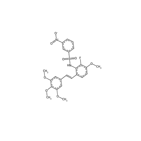 COc1ccc(C=Cc2cc(OC)c(OC)c(OC)c2)c(NS(=O)(=O)c2cccc([N+](=O)[O-])c2)c1F